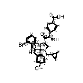 O=C(O)c1ccc(N(O)C(=O)[C@@H]2CN(CC3CC3)[C@@]3(C(=O)Nc4cc(Cl)ccc43)[C@H]2c2cccc(Br)c2F)cc1